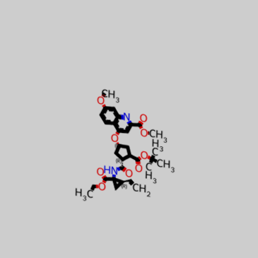 C=C[C@H]1CC1(NC(=O)[C@@H]1C[C@@H](Oc2cc(C(=O)OC)nc3cc(OC)ccc23)CC1C(=O)OC(C)(C)C)C(=O)OCC